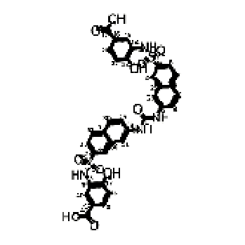 O=C(Nc1ccc2ccc(S(=O)(=O)Nc3cc(C(=O)O)ccc3O)cc2c1)Nc1ccc2ccc(S(=O)(=O)Nc3cc(C(=O)O)ccc3O)cc2c1